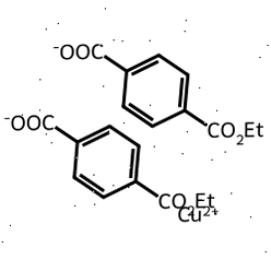 CCOC(=O)c1ccc(C(=O)[O-])cc1.CCOC(=O)c1ccc(C(=O)[O-])cc1.[Cu+2]